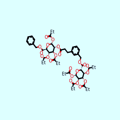 CCC(=O)O[C@@H]1O[C@H](C(=O)OCc2cccc(CCC(=O)O[C@H]3[C@@H](OC(=O)CC)O[C@H](C(=O)OCc4ccccc4)[C@@H](OC(=O)CC)[C@@H]3OC(=O)CC)c2)[C@@H](OC(=O)CC)[C@H](OC(=O)CC)[C@H]1OC(=O)CC